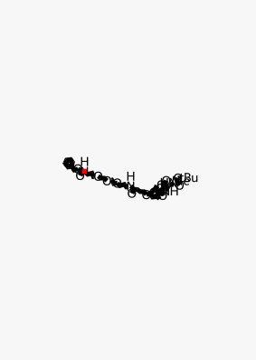 COC(=O)[C@H](CNC(=O)OC(C)(C)C)NS(=O)(=O)c1c(C)cc(OCCCC(=O)NCCCOCCOCCOCCCNC(=O)OCc2ccccc2)cc1C